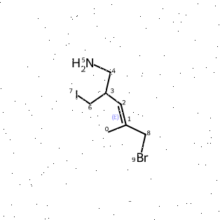 C/C(=C\C(CN)CI)CBr